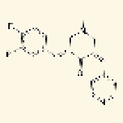 CN1CC(=Cc2ccncc2)C(=O)/C(=C/c2ccc(F)c(F)c2)C1